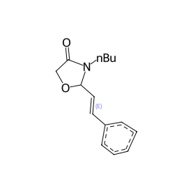 CCCCN1C(=O)COC1/C=C/c1ccccc1